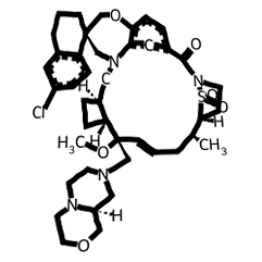 CO[C@@]1(CN2CCN3CCOC[C@@H]3C2)/C=C/C[C@H](C)[C@H]2CCN(C(=O)c3ccc4c(c3)N(C[C@@H]3CC[C@H]31)C[C@@]1(CCCc3cc(Cl)ccc31)CO4)S2(=O)=O